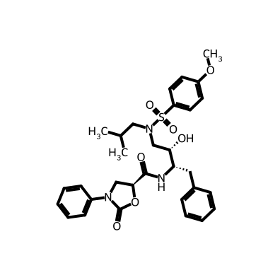 COc1ccc(S(=O)(=O)N(CC(C)C)C[C@H](O)[C@H](Cc2ccccc2)NC(=O)[C@@H]2CN(c3ccccc3)C(=O)O2)cc1